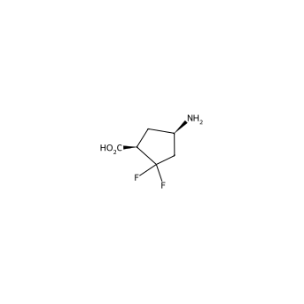 N[C@@H]1C[C@H](C(=O)O)C(F)(F)C1